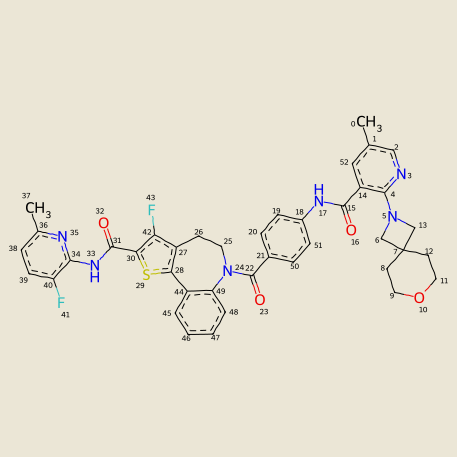 Cc1cnc(N2CC3(CCOCC3)C2)c(C(=O)Nc2ccc(C(=O)N3CCc4c(sc(C(=O)Nc5nc(C)ccc5F)c4F)-c4ccccc43)cc2)c1